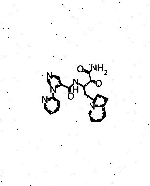 NC(=O)C(=O)C(Cc1ccc2ccccn12)NC(=O)c1cncn1-c1ccccn1